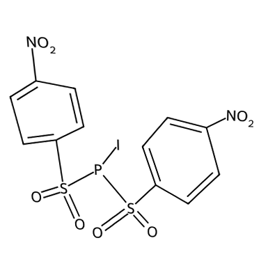 O=[N+]([O-])c1ccc(S(=O)(=O)P(I)S(=O)(=O)c2ccc([N+](=O)[O-])cc2)cc1